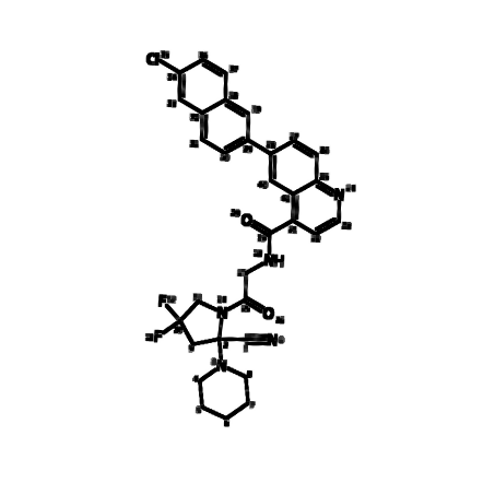 N#CC1(N2CCCCC2)CC(F)(F)CN1C(=O)CNC(=O)c1ccnc2ccc(-c3ccc4cc(Cl)ccc4c3)cc12